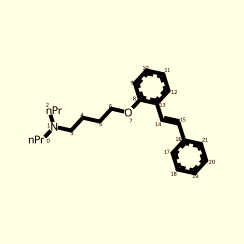 CCCN(CCC)CCCCOc1ccccc1/C=C/c1ccccc1